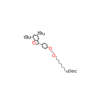 CCCCCCCCCCCCCCCCCCOCCOc1ccc(-c2coc3c(C(C)(C)C)cc(C(C)(C)C)cc23)cc1